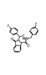 CC(c1ccc(F)cc1)N1C(=O)c2ccccc2C1C(=O)NCc1ccc(F)cc1